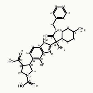 CC1CCC([C@@](N)(C(=O)OCc2ccccc2)c2nc3c(F)c(C4CN(C(=O)O)CC4C(=O)O)ccc3[nH]2)CC1